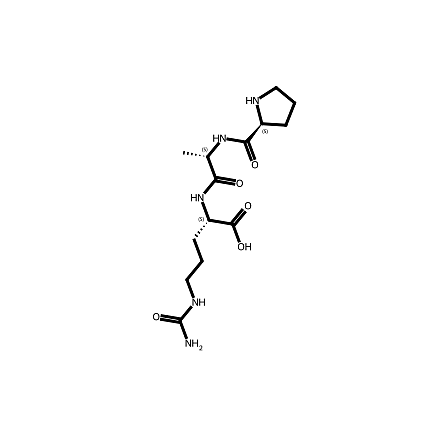 C[C@H](NC(=O)[C@@H]1CCCN1)C(=O)N[C@@H](CCCNC(N)=O)C(=O)O